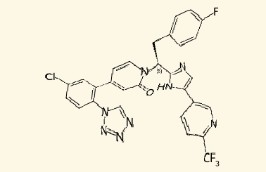 O=c1cc(-c2cc(Cl)ccc2-n2cnnn2)ccn1[C@@H](Cc1ccc(F)cc1)c1ncc(-c2ccc(C(F)(F)F)nc2)[nH]1